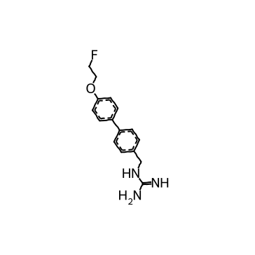 N=C(N)NCc1ccc(-c2ccc(OCCF)cc2)cc1